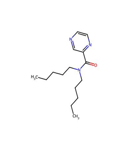 CCCCCN(CCCCC)C(=O)c1cnccn1